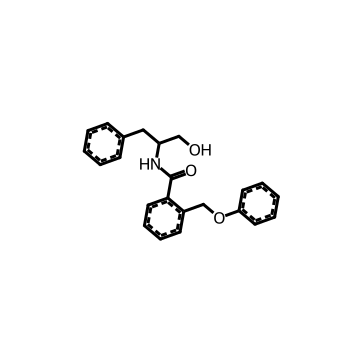 O=C(NC(CO)Cc1ccccc1)c1ccccc1COc1ccccc1